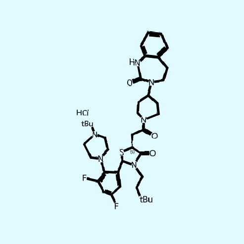 CC(C)(C)CCN1C(=O)[C@H](CC(=O)N2CCC(N3CCc4ccccc4NC3=O)CC2)SC1c1cc(F)cc(F)c1N1CCN(C(C)(C)C)CC1.Cl